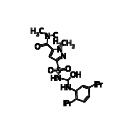 CC(C)c1ccc(C(C)C)c(NC(O)NS(=O)(=O)c2cc(C(=O)N(C)C)n(C)n2)c1